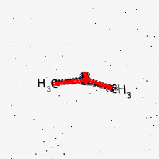 CCCCCCCCCCCCCCCCCCN1C=CN(CCCCCCCCCCCCCCCCC)C1c1ccccc1